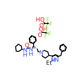 CCn1nc(Cc2ccccc2)cc1C1CCN(CC[C@H](NC(=O)NC2CCCCC2)c2ccccc2)CC1.O=C(O)C(F)(F)F.O=C(O)C(F)(F)F